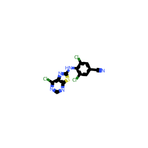 N#Cc1cc(Cl)c(Nc2nc3c(Cl)ncnc3s2)c(Cl)c1